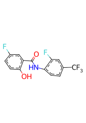 O=C(Nc1ccc(C(F)(F)F)cc1F)c1cc(F)ccc1O